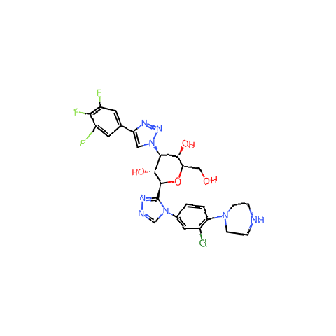 OC[C@H]1O[C@@H](c2nncn2-c2ccc(N3CCNCC3)c(Cl)c2)[C@H](O)[C@@H](n2cc(-c3cc(F)c(F)c(F)c3)nn2)[C@H]1O